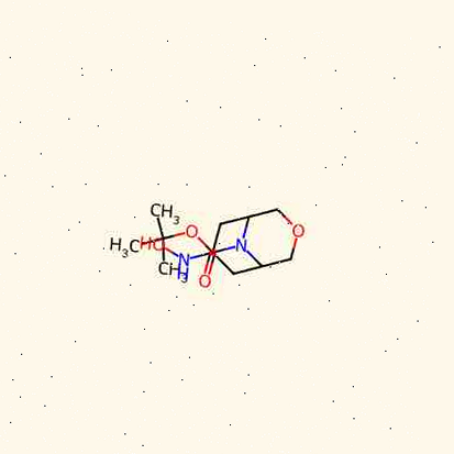 CC(C)(C)OC(=O)N1C2COCC1CC(NO)C2